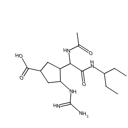 CCC(CC)NC(=O)C(NC(C)=O)C1CC(C(=O)O)CC1NC(=N)N